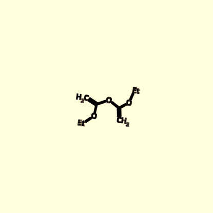 C=C(OCC)OC(=C)OCC